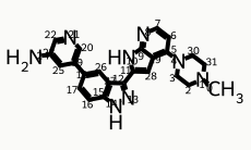 CN1CCN(c2ccnc3[nH]c(-c4n[nH]c5ccc(-c6cncc(N)c6)cc45)cc23)CC1